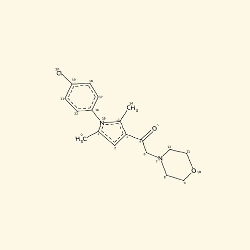 Cc1cc(C(=O)CN2CCOCC2)c(C)n1-c1ccc(Cl)cc1